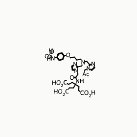 CC(=O)Cn1ccnc1CN(CCCCOc1ccc(N[SH](=O)=O)cc1)Cc1nccn1CC(=O)NC(CCC(=O)O)(CCC(=O)O)CCC(=O)O